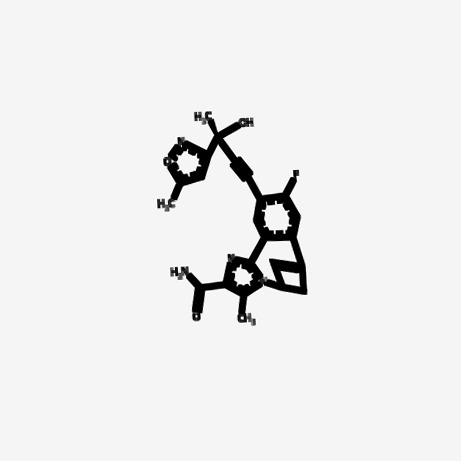 Cc1cc([C@](C)(O)C#Cc2cc3c(cc2F)C2=CC(C2)n2c-3nc(C(N)=O)c2C)no1